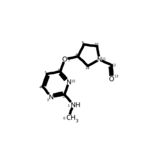 CNc1nccc(OC2CCN(C=O)C2)n1